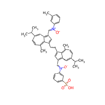 Cc1cccc(/[N+]([O-])=C/c2cc(/C=C/c3cc(/C=[N+](\[O-])c4cccc(S(=O)(=O)O)c4)c4cc(C(C)C)ccc(C)c3-4)c3c(C)ccc(C(C)C)cc2-3)c1